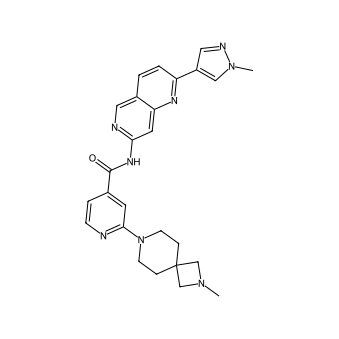 CN1CC2(CCN(c3cc(C(=O)Nc4cc5nc(-c6cnn(C)c6)ccc5cn4)ccn3)CC2)C1